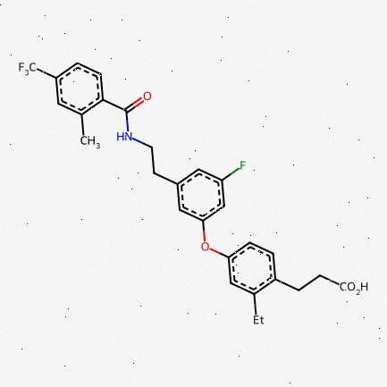 CCc1cc(Oc2cc(F)cc(CCNC(=O)c3ccc(C(F)(F)F)cc3C)c2)ccc1CCC(=O)O